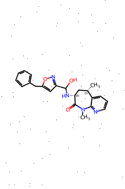 C[C@H]1C[C@@H](NC(O)c2cc(Cc3ccccc3)on2)C(=O)N(C)c2ncccc21